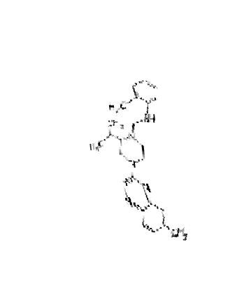 Cc1ccc2ncc(N3CCN(CNc4ccccc4C)C(C(C)C)C3)nc2c1